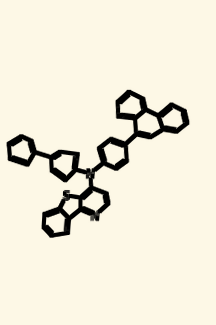 c1ccc(-c2ccc(N(c3ccc(-c4cc5ccccc5c5ccccc45)cc3)c3ccnc4c3sc3ccccc34)cc2)cc1